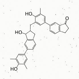 Cc1cc(-c2ccc3c(c2)C(O)C(Cc2cc(-c4ccc5c(c4)C(=O)CC5)cc(C)c2O)C3)cc(C)c1O